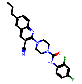 CCCc1ccc2nc(N3CCN(C(=O)Nc4ccc(F)cc4F)CC3)c(C#N)cc2c1